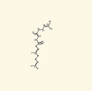 CC(C)=CCC/C(C)=C/CC(=O)C/C=C(\C)CCC=C(C)C